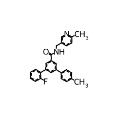 Cc1ccc(-c2cc(C(=O)NCc3ccc(C)nc3)cc(-c3ccccc3F)c2)cc1